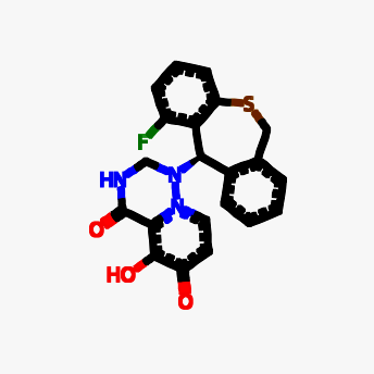 O=C1NCN([C@@H]2c3ccccc3CSc3cccc(F)c32)n2ccc(=O)c(O)c21